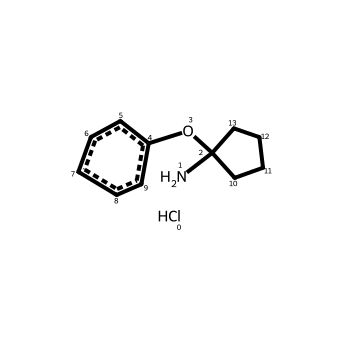 Cl.NC1(Oc2ccccc2)CCCC1